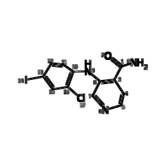 NC(=O)c1ccncc1Nc1ccc(I)cc1Cl